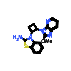 COc1nc2cccnc2n1C1CCC1N1c2ccccc2SC1N